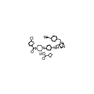 N#Cc1ccc(Cn2cncc2CNc2ccc(N3CCN(C(=O)c4ccc(Cl)s4)CC3)cc2)cc1.O=C(O)C1CCC1